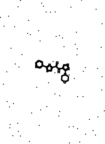 O=C(Nc1cnsc1N1CCOCC1)c1csc(-c2cccnc2)n1